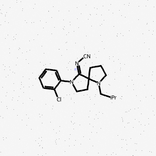 CC(C)CN1CCCC12CCN(c1ccccc1Cl)/C2=N/C#N